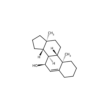 C[C@@]12CCC[C@H]1[C@@H]1[C@H](O)C=C3CCCC[C@]3(C)[C@H]1CC2